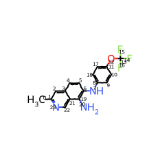 Cc1cc2ccc(Nc3ccc(OC(F)(F)F)cc3)c(N)c2cn1